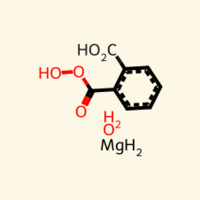 O.O=C(O)c1ccccc1C(=O)OO.[MgH2]